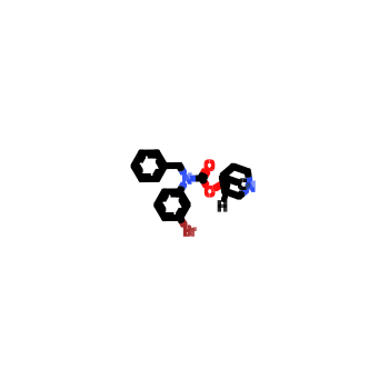 O=C(O[C@H]1CN2CCC1CC2)N(Cc1ccccc1)c1cccc(Br)c1